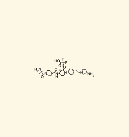 CC(C)(N)C(=O)N1CCN(C(=O)Nc2ccn(-c3ccc(CCN4CC[C@@H](N)C4)cc3)c(=O)n2)CC1.O=C(O)C(F)(F)F